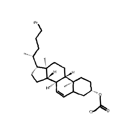 CC(C)CCC[C@@H](C)[C@H]1CC[C@H]2[C@@H]3C=CC4C[C@@H](OC(=O)Cl)CC[C@]4(C)[C@H]3CC[C@]12C